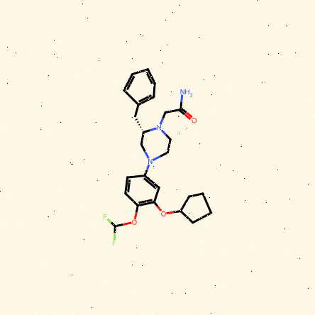 NC(=O)CN1CCN(c2ccc(OC(F)F)c(OC3CCCC3)c2)C[C@@H]1Cc1ccccc1